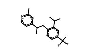 Cc1cc(C(C)Cc2ccc(C(F)(F)F)cc2C(C)C)ccn1